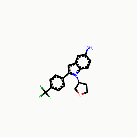 Nc1ccc2c(c1)cc(-c1ccc(C(F)(F)F)cc1)n2[C@H]1CCOC1